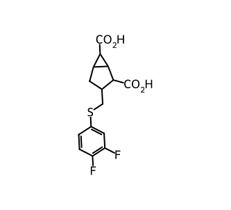 O=C(O)C1C(CSc2ccc(F)c(F)c2)CC2C(C(=O)O)C21